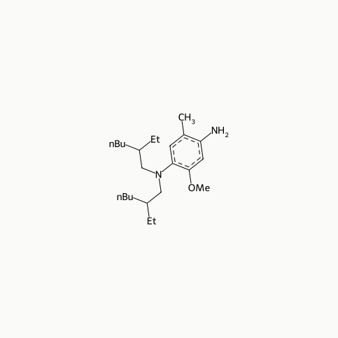 CCCCC(CC)CN(CC(CC)CCCC)c1cc(C)c(N)cc1OC